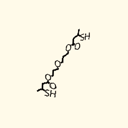 CC(S)CC(=O)OCCCOCCCOC(=O)CC(C)S